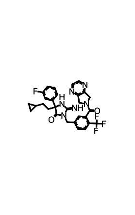 N=C1NC(CCC2CC2)(c2cccc(F)c2)C(=O)N1Cc1ccc(C(F)(F)F)c(C(=O)N2Cc3nccnc3C2)c1